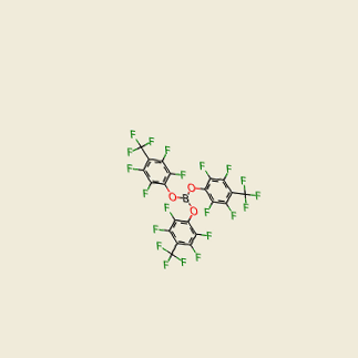 Fc1c(F)c(C(F)(F)F)c(F)c(F)c1OB(Oc1c(F)c(F)c(C(F)(F)F)c(F)c1F)Oc1c(F)c(F)c(C(F)(F)F)c(F)c1F